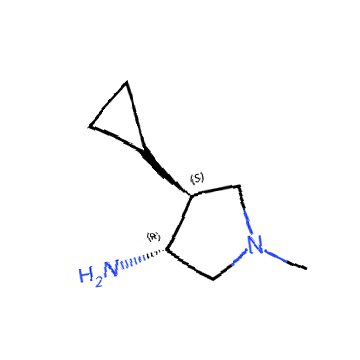 CN1C[C@H](C2CC2)[C@@H](N)C1